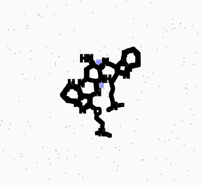 CN(C)CCCc1nn2ccccc2c1/N=C1\N/C(=N/c2c(OCCN(C)C)nn3ccccc23)C(N)=CC1=N